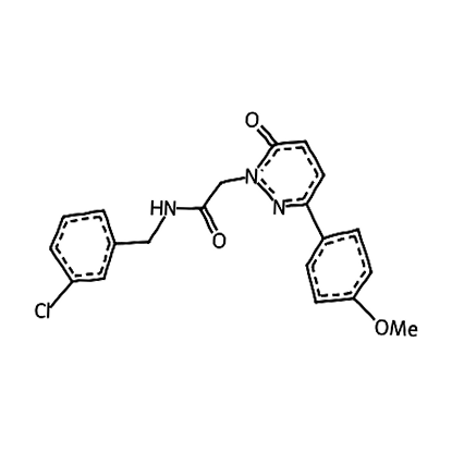 COc1ccc(-c2ccc(=O)n(CC(=O)NCc3cccc(Cl)c3)n2)cc1